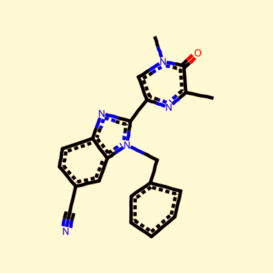 Cc1nc(-c2nc3ccc(C#N)cc3n2Cc2ccccc2)cn(C)c1=O